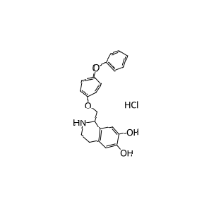 Cl.Oc1cc2c(cc1O)C(COc1ccc(Oc3ccccc3)cc1)NCC2